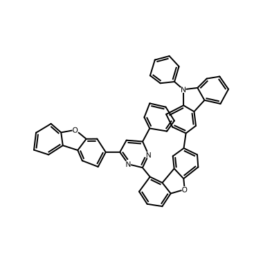 c1ccc(-c2cc(-c3ccc4c(c3)oc3ccccc34)nc(-c3cccc4oc5ccc(-c6ccc7c(c6)c6ccccc6n7-c6ccccc6)cc5c34)n2)cc1